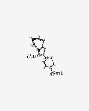 CCCCCN1CCN(c2cc3ccccc3n2C)CC1